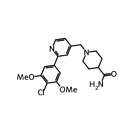 COc1cc(-c2cc(CN3CCC(C(N)=O)CC3)ccn2)cc(OC)c1Cl